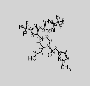 Cc1ccn(CC(=O)N2CCN(c3sc(C(F)(F)F)nc3-c3cnc(C(F)(F)F)nc3)CC2CCO)n1